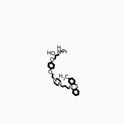 Cc1ccc2c(c1)N(CCCN1CCN(CCOc3ccc(OCC(O)CNC(C)C)cc3)CC1)c1ccccc1S2